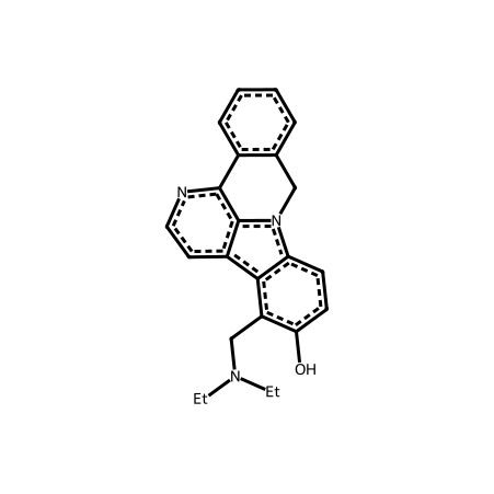 CCN(CC)Cc1c(O)ccc2c1c1ccnc3c1n2Cc1ccccc1-3